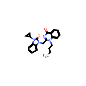 O=c1nc(Cn2c(=O)n(C3CC3)c3ccccc32)n(CCCC(F)(F)F)c2ccccc12